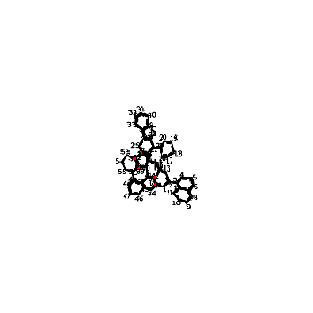 c1cc(-c2cccc3ccccc23)cc(N(c2ccccc2-c2cccc3c2sc2ccccc23)c2ccccc2-c2cccc3cccc(C4CCCCC4)c23)c1